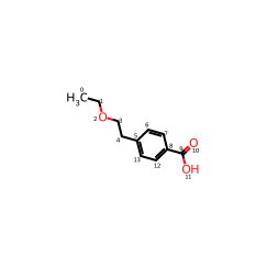 CCOCCc1ccc(C(=O)O)cc1